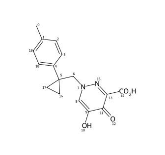 Cc1ccc(C2(Cn3cc(O)c(=O)c(C(=O)O)n3)CC2)cc1